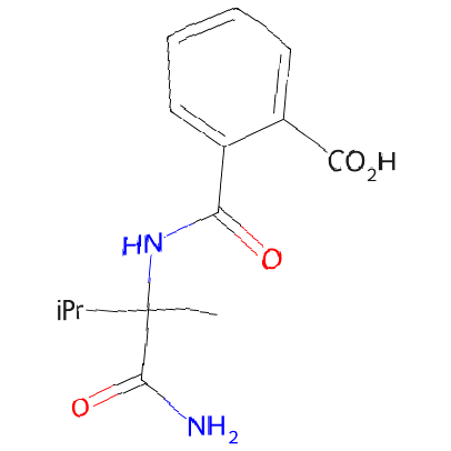 CC(C)C(C)(NC(=O)c1ccccc1C(=O)O)C(N)=O